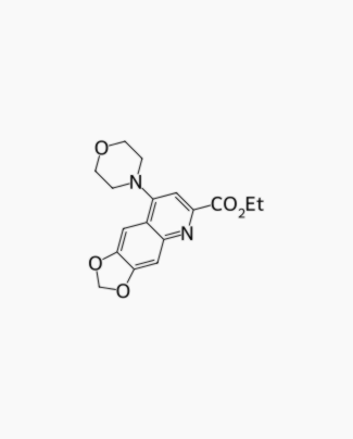 CCOC(=O)c1cc(N2CCOCC2)c2cc3c(cc2n1)OCO3